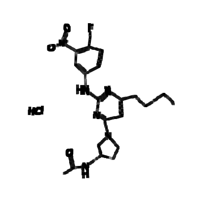 CCCCc1cc(N2CCC(NC(C)=O)C2)nc(Nc2ccc(F)c([N+](=O)[O-])c2)n1.Cl